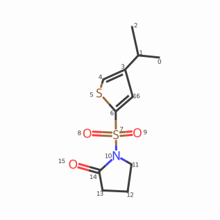 CC(C)c1csc(S(=O)(=O)N2CCCC2=O)c1